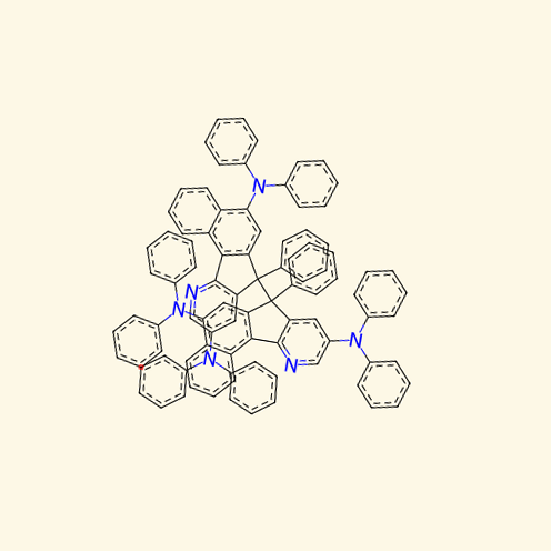 c1ccc(N(c2ccccc2)c2cnc3c(c2)C(c2ccccc2)(C2(c4ccccc4)c4cc(N(c5ccccc5)c5ccccc5)cnc4-c4c2cc(N(c2ccccc2)c2ccccc2)c2ccccc42)c2cc(N(c4ccccc4)c4ccccc4)c4ccccc4c2-3)cc1